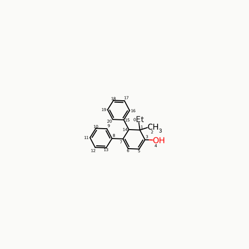 CCC1(C)C(O)=CC=C(c2ccccc2)C1c1ccccc1